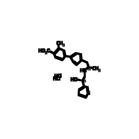 Cc1cc(-c2ccc(C[C@@H](C)NC[C@H](O)c3cccnc3)cc2)ccc1C(=O)O.Cl.Cl